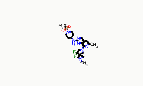 Cc1cc2cnc(NC3CCN(S(C)(=O)=O)CC3)nc2c(N2CC(F)(F)C3(CN(C)C3)C2)n1